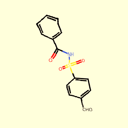 O=Cc1ccc(S(=O)(=O)NC(=O)c2ccccc2)cc1